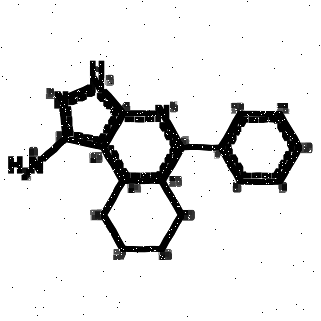 Nc1n[nH]c2nc(-c3ccccc3)c3c(c12)CCCC3